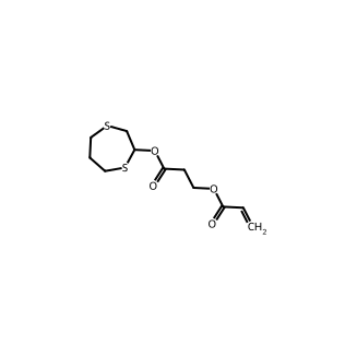 C=CC(=O)OCCC(=O)OC1CSCCCS1